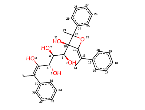 CC(=C(O)[C@@H](O)[C@@H](O)[C@H](O)[C@@]1(O)C(=C(C)c2ccccc2)OC1(C)c1ccccc1)c1ccccc1